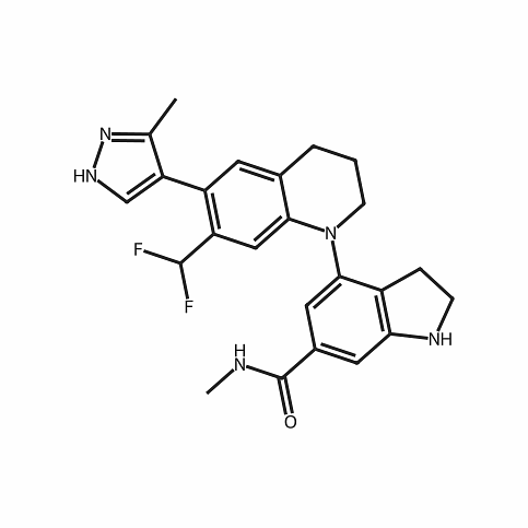 CNC(=O)c1cc2c(c(N3CCCc4cc(-c5c[nH]nc5C)c(C(F)F)cc43)c1)CCN2